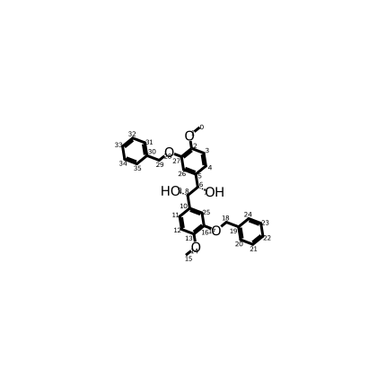 COc1ccc([C@H](O)[C@@H](O)c2ccc(OC)c(OCc3ccccc3)c2)cc1OCc1ccccc1